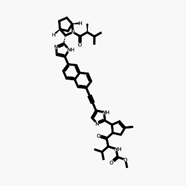 COC(=O)NC(C(=O)C1CC(C)=CC1c1ncc(C#Cc2ccc3cc(-c4cnc([C@@H]5[C@@H]6CC[C@@H](C6)N5C(=O)[C@@H](C)C(C)C)[nH]4)ccc3c2)[nH]1)C(C)C